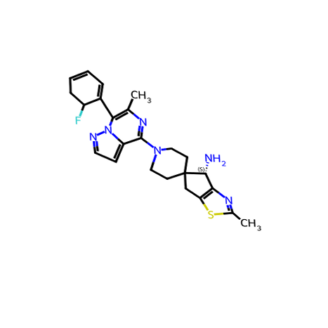 Cc1nc2c(s1)CC1(CCN(c3nc(C)c(C4=CC=CCC4F)n4nccc34)CC1)[C@@H]2N